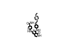 CCN1CCN(CCc2ccc(Nc3nc(Nc4ccc(C(N)=O)cn4)cc4cc[nH]c(=O)c34)cc2)CC1